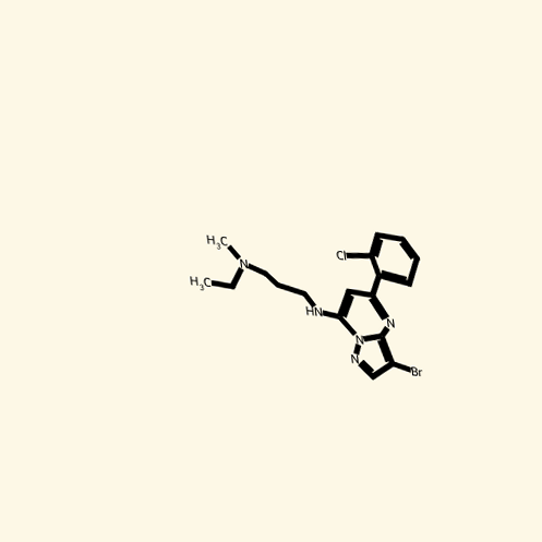 CCN(C)CCCNc1cc(-c2ccccc2Cl)nc2c(Br)cnn12